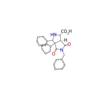 O=C(O)C1NC(c2ccccc2)C2(c3ccccc3)C(=O)N(Cc3ccccc3)C(=O)[C@H]12